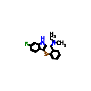 CN(C)Cc1ccccc1Sc1c[nH]c2cc(F)ccc12